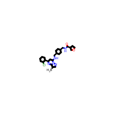 Bc1cnn2c(NCc3ccc(CNC(=O)c4ccoc4)cc3)cc(-c3ccccc3Cl)nc12